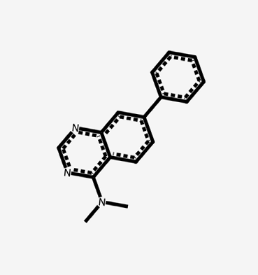 CN(C)c1ncnc2cc(-c3ccccc3)ccc12